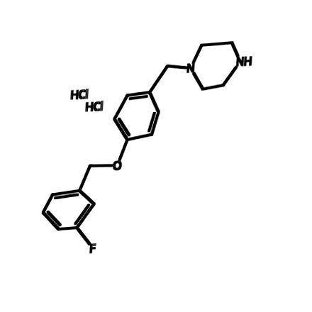 Cl.Cl.Fc1cccc(COc2ccc(CN3CCNCC3)cc2)c1